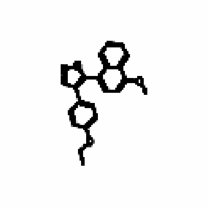 CCOc1ccc(-c2cnoc2-c2ccc(OC)c3ccccc23)cc1